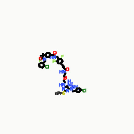 CCCSc1nc(NCCOCCNC(=O)C#Cc2cc(F)c(CNC(=O)c3ccc4c(c3)N(Cc3c(F)cccc3Cl)C(=O)C4(C)C)c(F)c2)c(N)c(N(N)Cc2ccc(Cl)cc2)n1